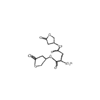 O=C1CC(OC(=O)CC(C(=O)OC2COC(=O)C2)S(=O)(=O)O)CO1